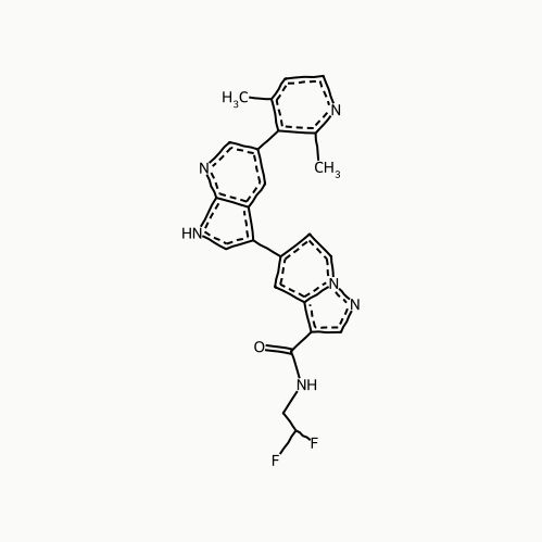 Cc1ccnc(C)c1-c1cnc2[nH]cc(-c3ccn4ncc(C(=O)NCC(F)F)c4c3)c2c1